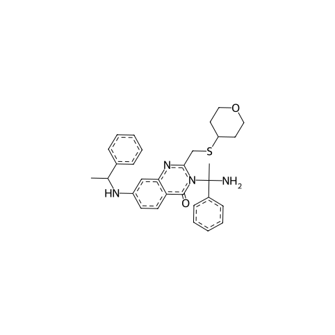 CC(Nc1ccc2c(=O)n(C(C)(N)c3ccccc3)c(CSC3CCOCC3)nc2c1)c1ccccc1